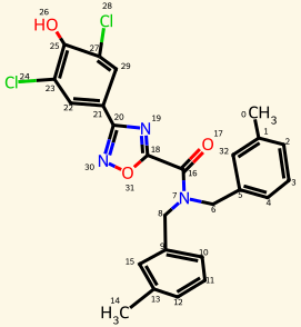 Cc1cccc(CN(Cc2cccc(C)c2)C(=O)c2nc(-c3cc(Cl)c(O)c(Cl)c3)no2)c1